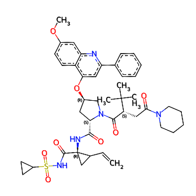 C=CC1C[C@]1(NC(=O)[C@@H]1C[C@@H](Oc2cc(-c3ccccc3)nc3cc(OC)ccc23)CN1C(=O)[C@@H](CC(=O)N1CCCCC1)C(C)(C)C)C(=O)NS(=O)(=O)C1CC1